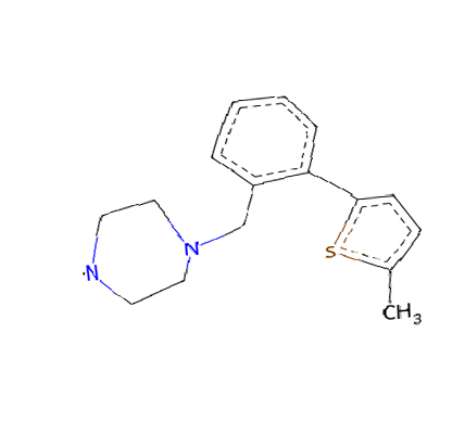 Cc1ccc(-c2ccccc2CN2CC[N]CC2)s1